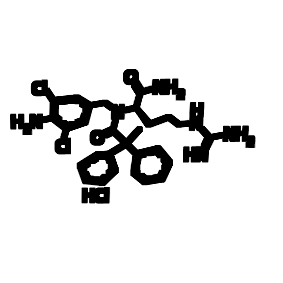 CC(C(=O)N(Cc1cc(Cl)c(N)c(Cl)c1)[C@H](CCCNC(=N)N)C(N)=O)(c1ccccc1)c1ccccc1.Cl